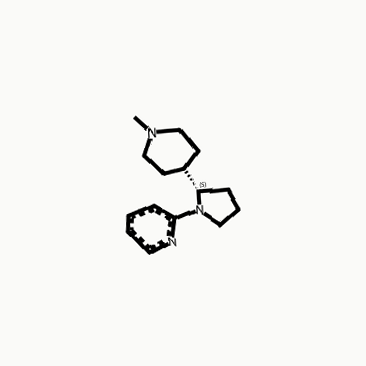 CN1CCC([C@@H]2CCCN2c2ccccn2)CC1